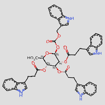 O=C(CCc1c[nH]c2ccccc12)O[C@@H]1[C@@H](OC(=O)CCc2c[nH]c3ccccc23)[C@H](OC(=O)OCc2c[nH]c3ccccc23)O[C@H](C(=O)O)[C@H]1OC(=O)CCc1c[nH]c2ccccc12